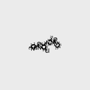 Cc1ccc(C(=O)Nc2cc(Cl)cc(CN3CCN(C(=O)N4CCCCC4)C(C)C3)c2C)cn1